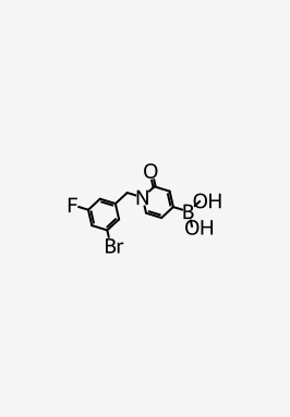 O=c1cc(B(O)O)ccn1Cc1cc(F)cc(Br)c1